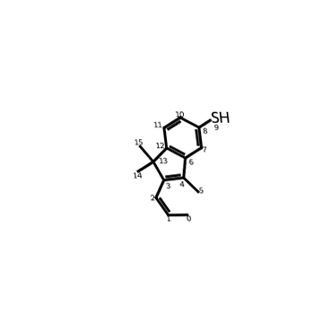 C/C=C\C1=C(C)c2cc(S)ccc2C1(C)C